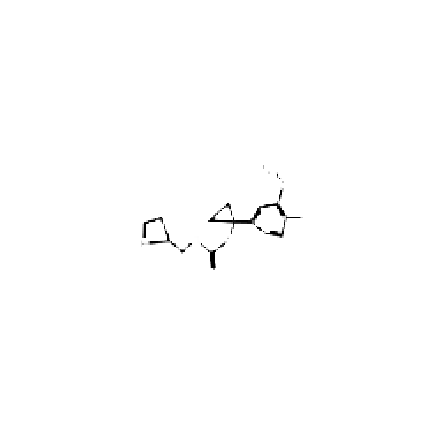 O=C(NC1(c2ccc(F)c(OC(F)(F)F)c2)CC1)OCC1CCN1